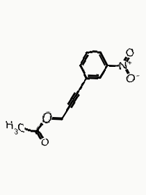 CC(=O)OCC#Cc1cccc([N+](=O)[O-])c1